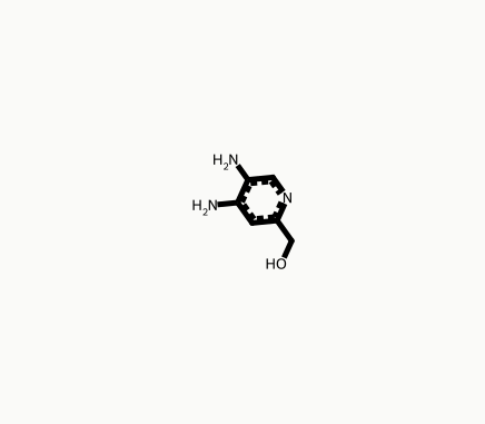 Nc1cnc(CO)cc1N